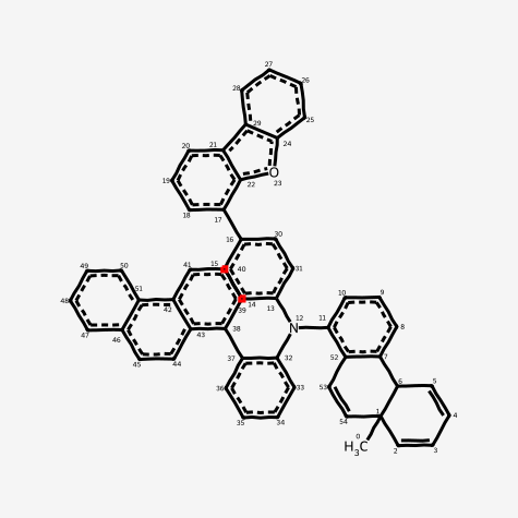 CC12C=CC=CC1c1cccc(N(c3ccc(-c4cccc5c4oc4ccccc45)cc3)c3ccccc3-c3cccc4c3ccc3ccccc34)c1C=C2